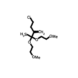 C=C(CCCl)C([SiH3])(OCCOC)OCCOC